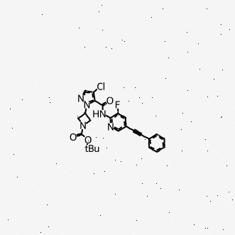 CC(C)(C)OC(=O)N1CC(n2ncc(Cl)c2C(=O)Nc2ncc(C#Cc3ccccc3)cc2F)C1